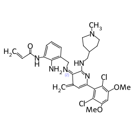 C=CC(=O)Nc1cccc(C/N=C2/C(=C)C=C(c3c(Cl)c(OC)cc(OC)c3Cl)N=C2NCC2CCN(C)CC2)c1N